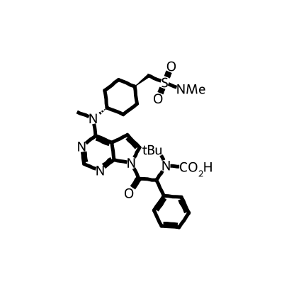 CNS(=O)(=O)C[C@H]1CC[C@H](N(C)c2ncnc3c2ccn3C(=O)C(c2ccccc2)N(C(=O)O)C(C)(C)C)CC1